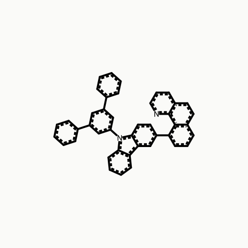 c1ccc(-c2cc(-c3ccccc3)cc(-n3c4ccccc4c4cc(-c5cccc6ccc7cccnc7c56)ccc43)c2)cc1